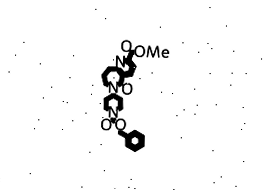 COC(=O)c1ccc2c(n1)CCCN(C1CCN(C(=O)OCc3ccccc3)CC1)C2=O